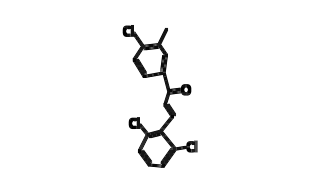 Cc1cc(C(=O)C=Cc2c(Cl)cccc2Cl)ccc1Cl